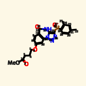 COC(=O)CCCOc1ccc2c(=O)[nH]c3c([S+]([O-])c4ccc(C)cc4C)nnn3c2c1